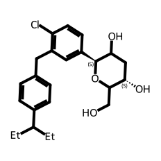 CCC(CC)c1ccc(Cc2cc([C@@H]3OC(CO)[C@@H](O)CC3O)ccc2Cl)cc1